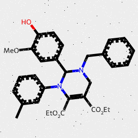 CCOC(=O)C1=C(C(=O)OCC)N(c2cccc(C)c2)C(c2ccc(O)c(OC)c2)N(Cc2ccccc2)C1